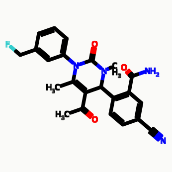 CC(=O)C1=C(C)N(c2cccc(CF)c2)C(=O)N(C)C1c1ccc(C#N)cc1C(N)=O